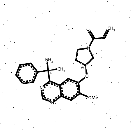 C=CC(=O)N1CC[C@H](Oc2cc3c([C@@](C)(N)c4ccccc4)ncnc3cc2OC)C1